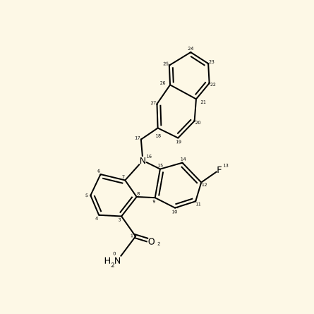 NC(=O)c1cccc2c1c1[c]cc(F)cc1n2Cc1ccc2ccccc2c1